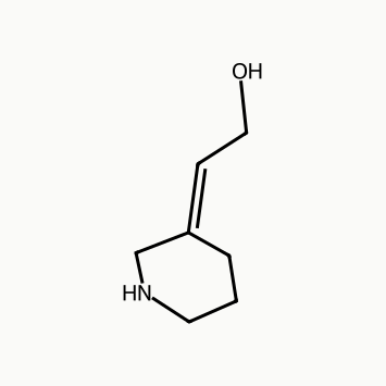 OCC=C1CCCNC1